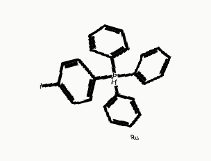 Ic1ccc([PH](c2ccccc2)(c2ccccc2)c2ccccc2)cc1.[Ru]